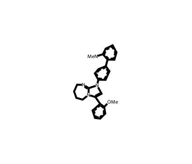 CNc1ccccc1-c1ccc(N2C=C(c3ccccc3OC)N3CCCCN=C32)cc1